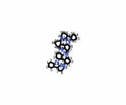 c1ccc2c(c1)c1cccnc1n2-c1ccc2c3c1c1ccccc1n3c1ccc(-n3c4ccccc4c4cccnc43)c3c4ccccc4n2c31